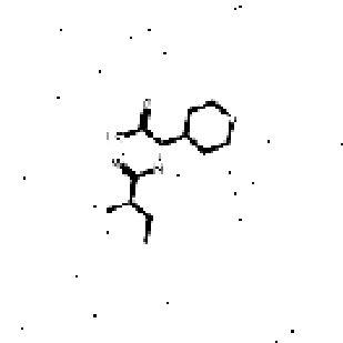 CC[C@@H](C)C(=O)N[C@H](C(=O)O)C1CCOCC1